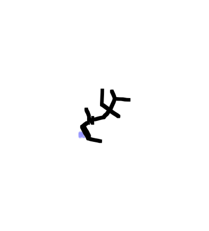 C/C=C\N(C)CC(C)(CC)C(C)C